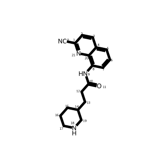 N#Cc1ccc2cccc(NC(=O)CCC3CCCNC3)c2n1